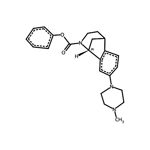 CN1CCN(c2ccc3c(c2)[C@H]2CC3CCN2C(=O)Oc2ccccc2)CC1